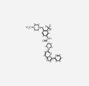 CN1CCN(Cc2ccc(NC(=O)[C@@H]3CCN(c4ccc5ncc(-c6ccccn6)n5n4)C3)cc2C(F)(F)F)CC1